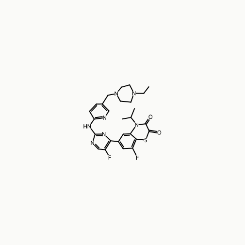 CCN1CCN(Cc2ccc(Nc3ncc(F)c(-c4cc(F)c5sc(=O)c(=O)n(C(C)C)c5c4)n3)nc2)CC1